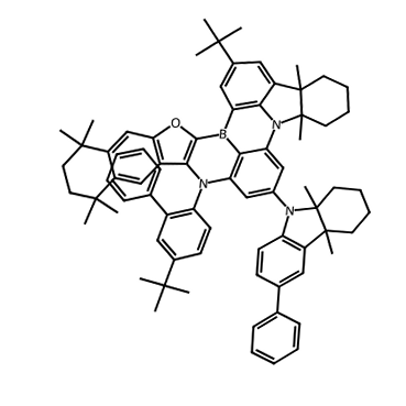 CC(C)(C)c1ccc(N2c3cc(N4c5ccc(-c6ccccc6)cc5C5(C)CCCCC45C)cc4c3B(c3cc(C(C)(C)C)cc5c3N4C3(C)CCCCC53C)c3oc4cc5c(cc4c32)C(C)(C)CCC5(C)C)c(-c2ccccc2)c1